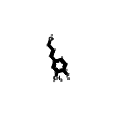 Cc1cc(/C=C/C[O])ccc1F